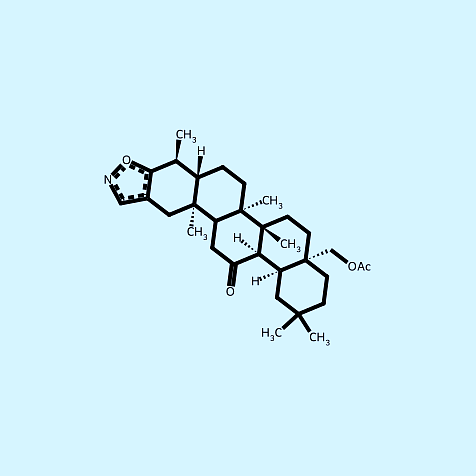 CC(=O)OC[C@]12CCC(C)(C)C[C@H]1[C@H]1C(=O)CC3[C@@]4(C)Cc5cnoc5[C@@H](C)[C@@H]4CC[C@@]3(C)[C@]1(C)CC2